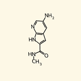 CNC(=O)c1cc2cc(N)cnc2[nH]1